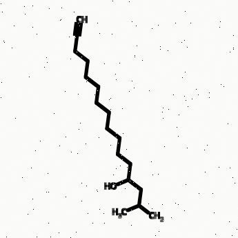 C#CCCCCCCCCCCC(O)CC(C)C